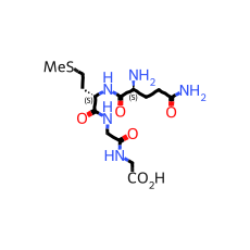 CSCC[C@H](NC(=O)[C@@H](N)CCC(N)=O)C(=O)NCC(=O)NCC(=O)O